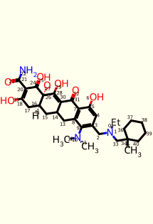 CCN(Cc1cc(O)c2c(c1N(C)C)CC1C[C@H]3CC(O)=C(C(N)=O)C(=O)[C@@]3(O)C(O)=C1C2=O)CC1(C)CCCCC1